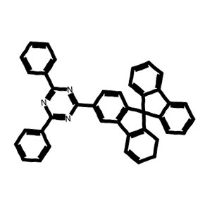 C1=CC2=C(CC1)C1(c3ccc(-c4nc(-c5ccccc5)nc(-c5ccccc5)n4)cc32)c2ccccc2-c2ccccc21